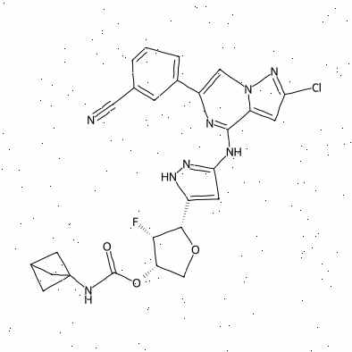 N#Cc1cccc(-c2cn3nc(Cl)cc3c(Nc3cc([C@@H]4OC[C@H](OC(=O)NC56CC(C5)C6)[C@@H]4F)[nH]n3)n2)c1